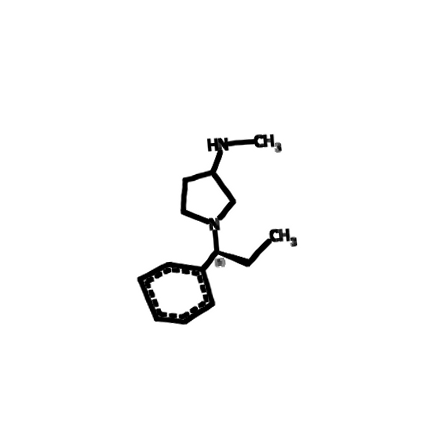 CC[C@@H](c1ccccc1)N1CCC(NC)C1